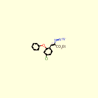 CCOC(=O)/C(=C\c1ccc(Cl)cc1Oc1ccccc1)N=[N+]=[N-]